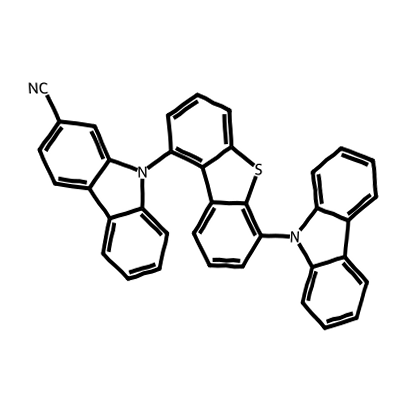 N#Cc1ccc2c3ccccc3n(-c3cccc4sc5c(-n6c7ccccc7c7ccccc76)cccc5c34)c2c1